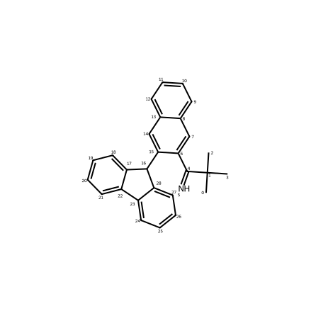 CC(C)(C)C(=N)c1cc2ccccc2cc1C1c2ccccc2-c2ccccc21